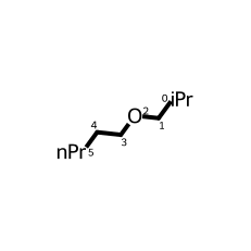 [CH2]C(C)COCCCCC